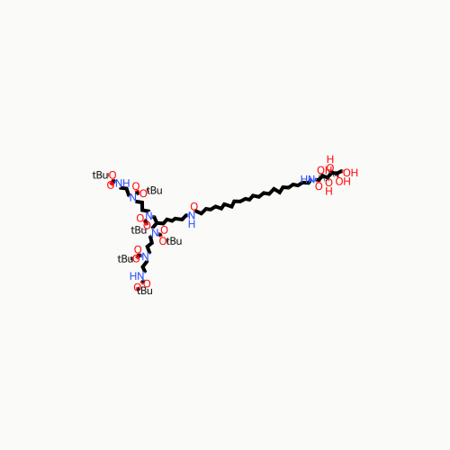 CC(C)(C)OC(=O)NCCCN(CCCCN(CC(CCCCCCNC(=O)CCCCCCCCCCCCCCCCCCCCCCCNC(=O)[C@@H](O)[C@@H](O)[C@@H](O)[C@H](O)CO)CN(CCCCN(CCCNC(=O)OC(C)(C)C)C(=O)OC(C)(C)C)C(=O)OC(C)(C)C)C(=O)OC(C)(C)C)C(=O)OC(C)(C)C